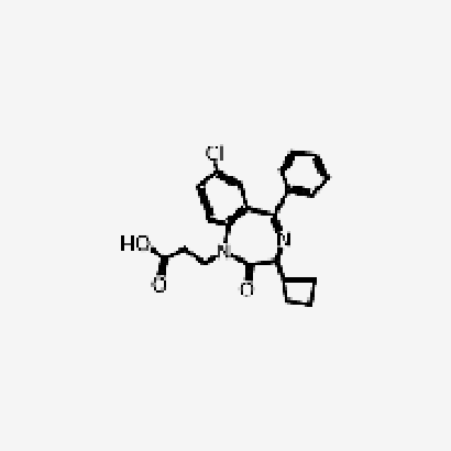 O=C(O)CCN1C(=O)C(C2CCC2)N=C(c2ccccc2)c2cc(Cl)ccc21